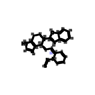 S=NN1C=CC=C/C1=C/C[C@H]1c2nc[nH]c2CCN1c1nc2ccccc2o1